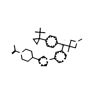 CC(=O)N1CCC(c2cn(-c3cncc([C@@](O)(c4ccc(C5(C(F)(F)F)CC5)cc4)C4(C)CN(C)C4)c3)cn2)CC1